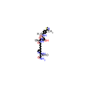 Cc1ncsc1-c1ccc([C@H](C)NC(=O)[C@@H]2C[C@@H](O)CN2C(=O)[C@@H](NC(=O)CCCCCc2ccnc([C@H](CCC(N)=O)NC=O)c2)C(C)(C)C)cc1